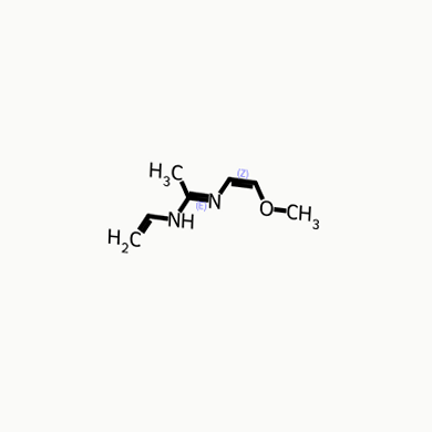 C=CN/C(C)=N/C=C\OC